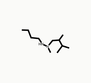 CCCCNN(C)CC(C)C(C)C